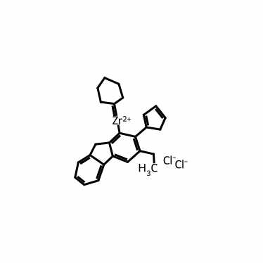 CCc1cc2c([c]([Zr+2]=[C]3CCCCC3)c1C1=CC=CC1)Cc1ccccc1-2.[Cl-].[Cl-]